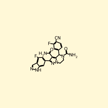 N#Cc1ccc(C2c3c(C(N)=O)c(-c4cc(F)c5cn[nH]c5c4)nn3CCN2C(N)=O)cc1F